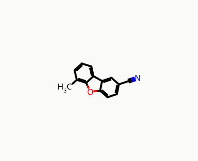 Cc1cccc2c1oc1ccc(C#N)cc12